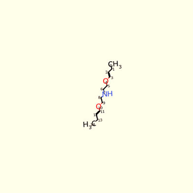 CCC=COCCNCCOC=CCC